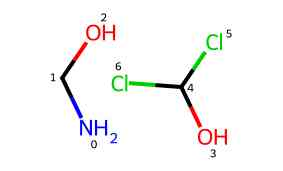 NCO.OC(Cl)Cl